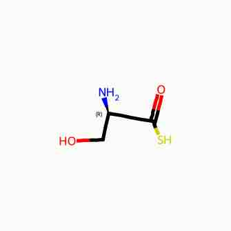 N[C@H](CO)C(=O)S